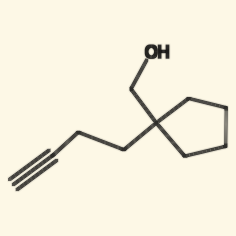 C#CCCC1(CO)CCCC1